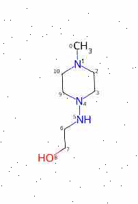 CN1CCN(NCCO)CC1